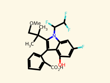 COCC(C)(C)c1c(-c2ccccc2C(=O)O)c2c(O)cc(F)cc2n1C(F)C(F)F